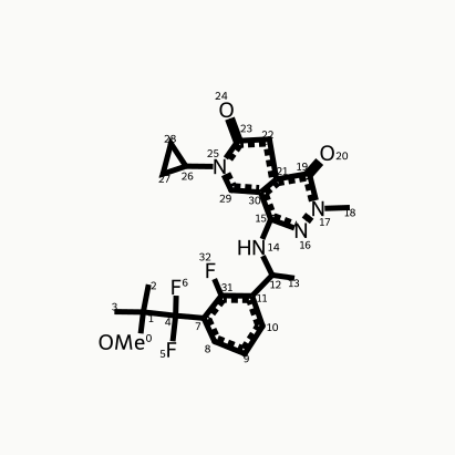 COC(C)(C)C(F)(F)c1cccc(C(C)Nc2nn(C)c(=O)c3cc(=O)n(C4CC4)cc23)c1F